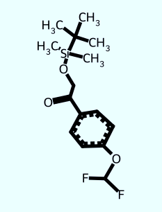 CC(C)(C)[Si](C)(C)OCC(=O)c1ccc(OC(F)F)cc1